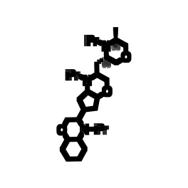 CC(C)N1C(C[C@H]2COC[C@H](C)N2C(C)C)COC2CC(C3COC4CCCCC4N3C(C)C)CC21